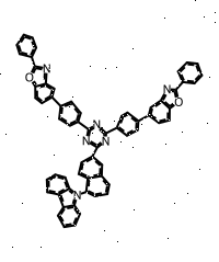 c1ccc(-c2nc3cc(-c4ccc(-c5nc(-c6ccc(-c7ccc8oc(-c9ccccc9)nc8c7)cc6)nc(-c6ccc7c(-n8c9ccccc9c9ccccc98)cccc7c6)n5)cc4)ccc3o2)cc1